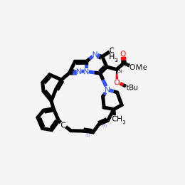 COC(=O)[C@@H](OC(C)(C)C)c1c(C)nc2cc3nn2c1N1CCC(C)(/C=C/C=C/CCc2ccccc2-c2cccc-3c2)CC1